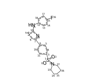 O=S(=O)(c1ccc(-c2csc(Nc3ccc(F)cc3)n2)cc1)N1CCCCC1